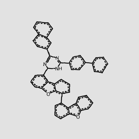 c1ccc(-c2ccc(C3=NC(c4ccc5ccccc5c4)=NC(c4cccc5oc6c(-c7cccc8oc9ccccc9c78)cccc6c45)N3)cc2)cc1